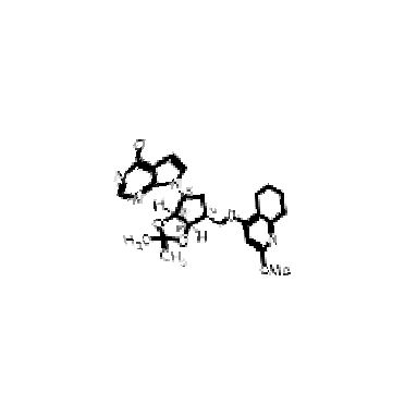 COc1cc(OC[C@@H]2C[C@@H](n3ccc4c(Cl)ncnc43)[C@@H]3OC(C)(C)O[C@H]23)c2c(n1)CCCC2